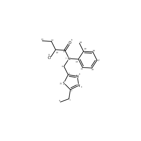 CCc1nnc(CN(C(=O)C(Cl)CC)c2ccccc2C)s1